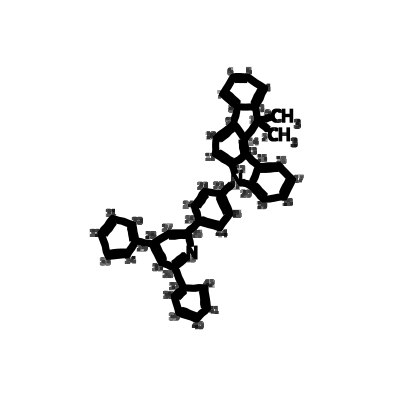 CC1(C)c2ccccc2-c2ccc3c(c21)c1ccccc1n3-c1ccc(-c2cc(-c3ccccc3)cc(-c3ccccc3)n2)cc1